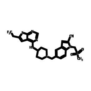 CS(=O)(=O)Cn1c(C#N)cc2cc(CN3CCC(Nc4ncnc5sc(CC(F)(F)F)cc45)CC3)ccc21